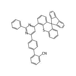 N#Cc1ccccc1-c1ccc(-c2cc(-c3cccc4c3Sc3ccccc3C43c4ccccc4-c4ccccc43)nc(-c3ccccc3)n2)cc1